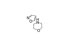 C1COCCN1.c1cnoc1